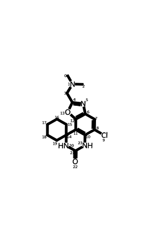 CN(C)Cc1nc2cc(Cl)c3c(c2o1)C1(CCCCC1)NC(=O)N3